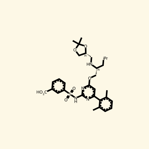 Cc1cccc(C)c1-c1cc(OC[C@@H](CC(C)C)NC[C@@H]2COC(C)(C)O2)nc(NS(=O)(=O)c2cccc(C(=O)O)c2)n1